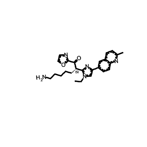 CCn1cc(-c2ccc3nc(C)ccc3c2)nc1[C@H](CCCCCN)C(=O)c1ncco1